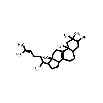 CC(C)=CCCC(C)C1CCC2C3=C(CCC21C)C1(C)CC(C)(C)C(O)CC1CC3